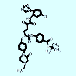 CCN1CCN(c2ccc(C[C@H](CCC(=O)C(=O)Nc3cc(Cl)ccc3-n3cnnn3)C(=O)Nc3ccc(C(=O)OC(C)(C)C)cc3)cc2)C(=O)C1